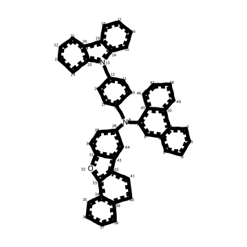 c1ccc2c(c1)cc(N(c1ccc(-n3c4ccccc4c4ccccc43)cc1)c1ccc3oc4c5ccccc5ccc4c3c1)c1ccccc12